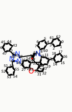 c1ccc(-c2cccc(N3c4cc(-c5ccccc5)ccc4C4(c5ccccc5Oc5ccccc54)c4cc(-c5nc(-c6ccccc6)nc(-c6ccccc6)n5)ccc43)c2)cc1